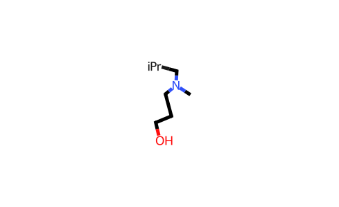 CC(C)CN(C)CCCO